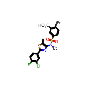 CCN(c1nc(-c2ccc(F)c(Cl)c2)sc1C)S(=O)(=O)c1ccc(C(C)C)c(C(=O)O)c1